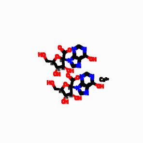 O=C([O-])[C@@]1(n2cnc3c(O)ncnc32)O[C@H](CO)[C@@H](O)[C@H]1O.O=C([O-])[C@@]1(n2cnc3c(O)ncnc32)O[C@H](CO)[C@@H](O)[C@H]1O.[Ca+2]